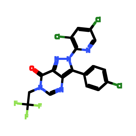 O=c1c2nn(-c3ncc(Cl)cc3Cl)c(-c3ccc(Cl)cc3)c2ncn1CC(F)(F)F